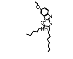 CCCCCCCCC(Sc1nc2ccc(OCC)cc2s1)C(=O)NCCCCC